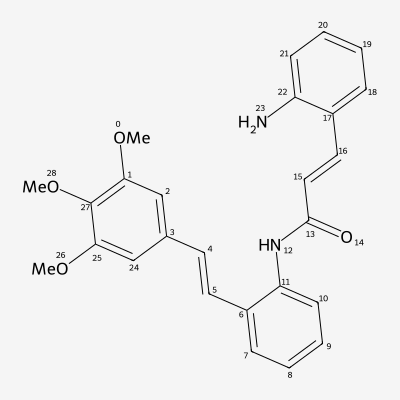 COc1cc(C=Cc2ccccc2NC(=O)/C=C/c2ccccc2N)cc(OC)c1OC